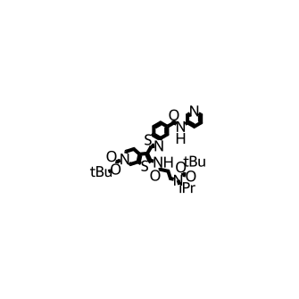 CC(C)N(CCC(=O)Nc1sc2c(c1-c1nc3cc(C(=O)Nc4cccnc4)ccc3s1)CCN(C(=O)OC(C)(C)C)C2)C(=O)OC(C)(C)C